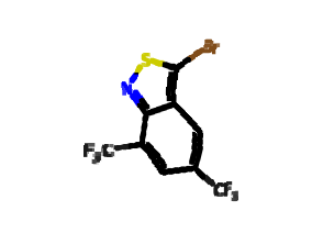 FC(F)(F)c1cc(C(F)(F)F)c2nsc(Br)c2c1